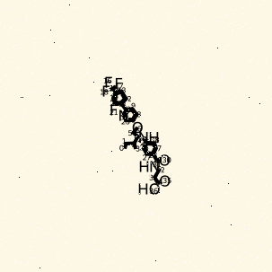 CCC(C)C(COc1ccc(-c2ccc(C(F)(F)F)cc2F)nc1)Nc1ccc(C(=O)NCCC(=O)O)cc1